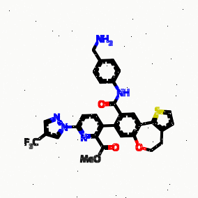 COC(=O)c1nc(-n2cc(C(F)(F)F)cn2)ccc1-c1cc2c(cc1C(=O)Nc1ccc(CN)cc1)-c1sccc1CCO2